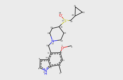 COc1cc(C)c2[nH]ccc2c1CN1CCC([S+]([O-])CC2CC2)CC1